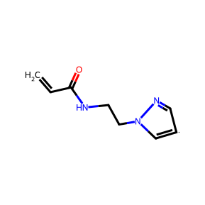 C=CC(=O)NCCn1c[c]cn1